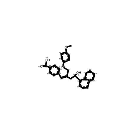 COc1ccc(NCC(=Cc2ccc(C(=O)O)cc2)CC(O)c2cccc3ccccc23)cc1